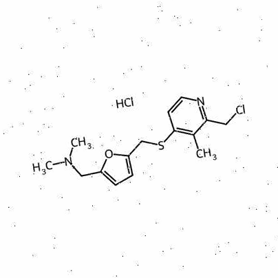 Cc1c(SCc2ccc(CN(C)C)o2)ccnc1CCl.Cl